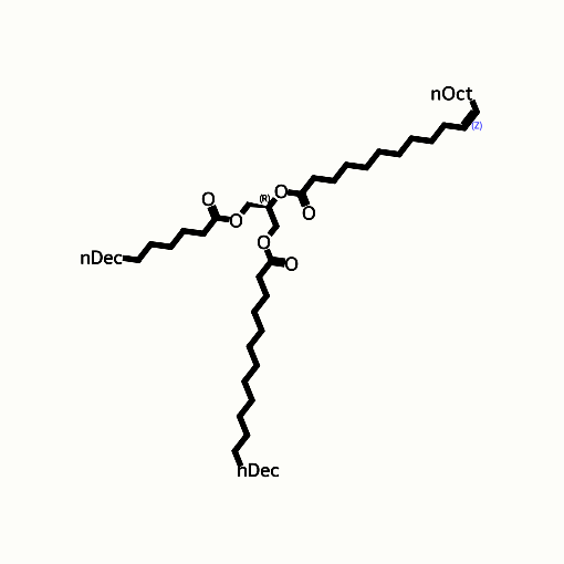 CCCCCCCC/C=C\CCCCCCCCCC(=O)O[C@H](COC(=O)CCCCCCCCCCCCCCC)COC(=O)CCCCCCCCCCCCCCCCCCCCC